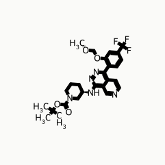 COCOc1cc(C(F)(F)F)ccc1-c1nnc(N[C@@H]2CCCN(C(=O)OC(C)(C)C)C2)c2cnccc12